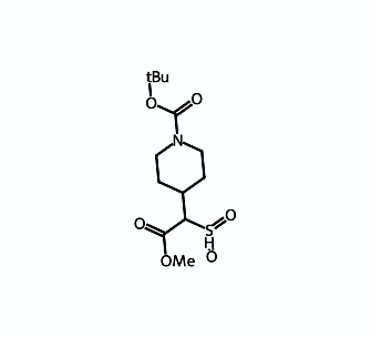 COC(=O)C(C1CCN(C(=O)OC(C)(C)C)CC1)[SH](=O)=O